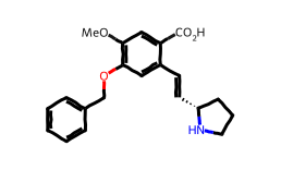 COc1cc(C(=O)O)c(C=C[C@@H]2CCCN2)cc1OCc1ccccc1